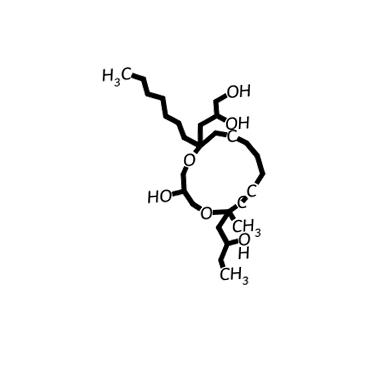 CCCCCCCC1(CC(O)CO)CCCCCCCC(C)(CC(O)CC)OCC(O)CO1